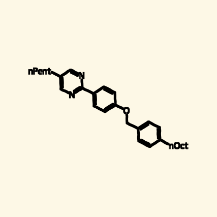 CCCCCCCCc1ccc(COc2ccc(-c3ncc(CCCCC)cn3)cc2)cc1